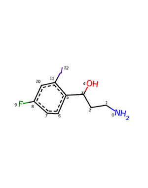 NCCC(O)c1ccc(F)cc1I